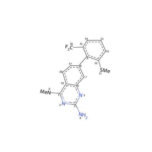 CNc1nc(N)nc2cc(-c3c(SC)cccc3C(F)(F)F)ccc12